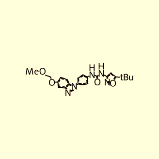 COCCOc1ccc2c(c1)ncn2-c1ccc(NC(=O)Nc2cc(C(C)(C)C)on2)cc1